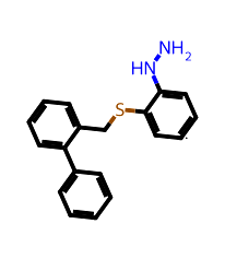 NNc1cc[c]cc1SCc1ccccc1-c1ccccc1